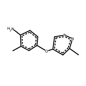 Cc1cc(Oc2ccc(N)c(C)c2)cnn1